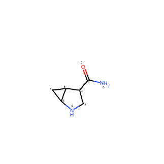 NC(=O)C1CNC2CC21